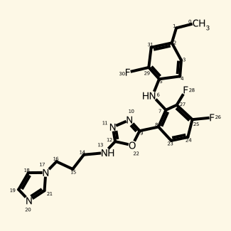 CCc1ccc(Nc2c(-c3nnc(NCCCn4ccnc4)o3)ccc(F)c2F)c(F)c1